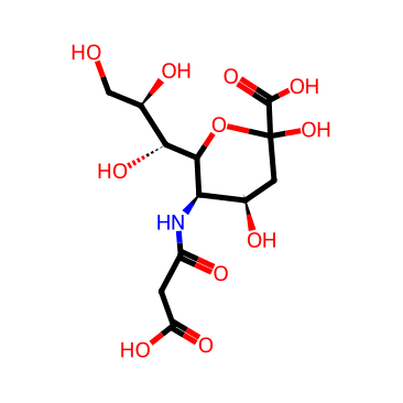 O=C(O)CC(=O)N[C@H]1C([C@H](O)[C@H](O)CO)OC(O)(C(=O)O)C[C@H]1O